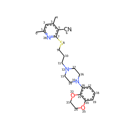 Cc1cc(C)c(C#N)c(SCCCN2CCN(c3cccc4c3OCCO4)CC2)n1